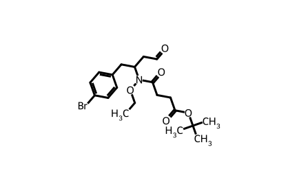 CCON(C(=O)CCC(=O)OC(C)(C)C)C(CC=O)Cc1ccc(Br)cc1